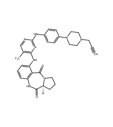 C#CCN1CCN(c2ccc(Nc3ncc(C(F)(F)F)c(Nc4cccc5c4C(=O)N4CCC[C@H]4C(=O)N5)n3)cc2)CC1